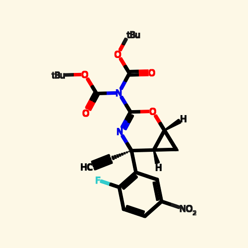 C#C[C@]1(c2cc([N+](=O)[O-])ccc2F)N=C(N(C(=O)OC(C)(C)C)C(=O)OC(C)(C)C)O[C@@H]2C[C@@H]21